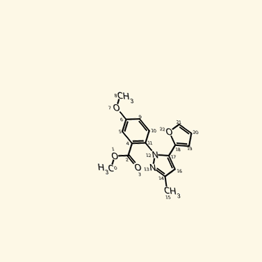 COC(=O)c1cc(OC)ccc1-n1nc(C)cc1-c1ccco1